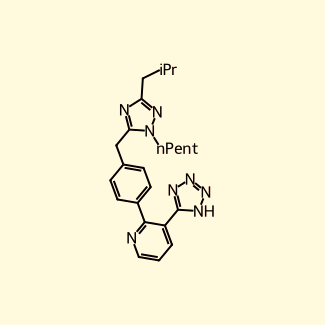 CCCCCn1nc(CC(C)C)nc1Cc1ccc(-c2ncccc2-c2nnn[nH]2)cc1